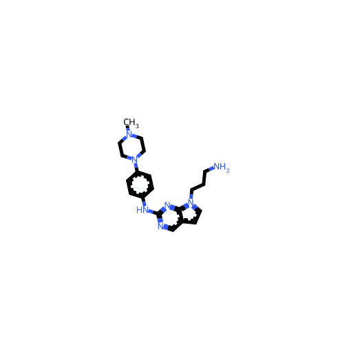 CN1CCN(c2ccc(Nc3ncc4ccn(CCCN)c4n3)cc2)CC1